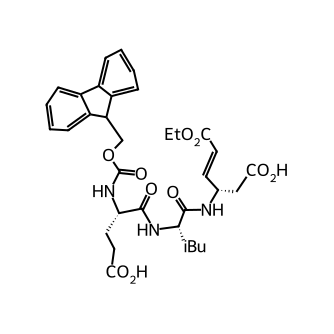 CCOC(=O)/C=C/[C@H](CC(=O)O)NC(=O)[C@@H](NC(=O)[C@H](CCC(=O)O)NC(=O)OCC1c2ccccc2-c2ccccc21)C(C)CC